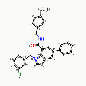 O=C(O)c1ccc(CNC(=O)c2cc(-c3ccccc3)cc3ccn(Cc4cccc(Cl)c4)c23)cc1